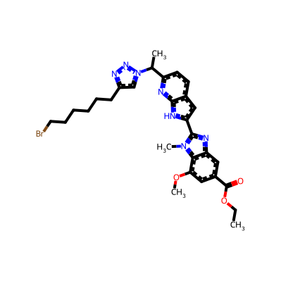 CCOC(=O)c1cc(OC)c2c(c1)nc(-c1cc3ccc(C(C)n4cc(CCCCCCBr)nn4)nc3[nH]1)n2C